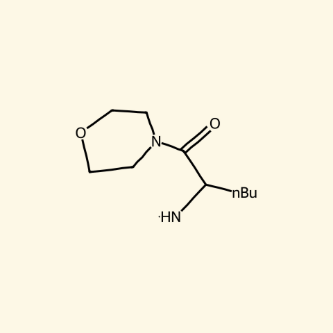 CCCCC([NH])C(=O)N1CCOCC1